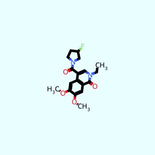 CCn1cc(C(=O)N2CCC(F)C2)c2cc(OC)c(OC)cc2c1=O